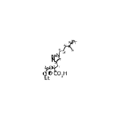 CCOP(C)(=O)OC(Cc1cn(CCCC(C)C(C)C)nn1)C(=O)O